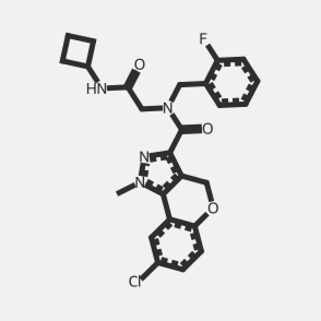 Cn1nc(C(=O)N(CC(=O)NC2CCC2)Cc2ccccc2F)c2c1-c1cc(Cl)ccc1OC2